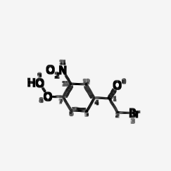 O=C(CBr)c1ccc(OO)c([N+](=O)[O-])c1